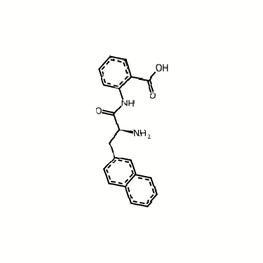 N[C@@H](Cc1ccc2ccccc2c1)C(=O)Nc1ccccc1C(=O)O